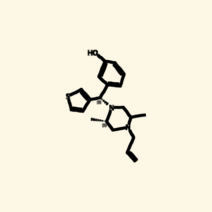 C=CCN1C[C@H](C)N([C@H](c2ccsc2)c2cccc(O)c2)CC1C